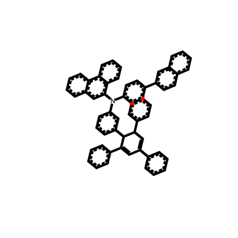 C1=C(c2ccccc2)C=C(c2ccccc2)C(c2cccc(N(c3ccc(-c4ccc5ccccc5c4)cc3)c3cc4ccccc4c4ccccc34)c2)C1c1ccccc1